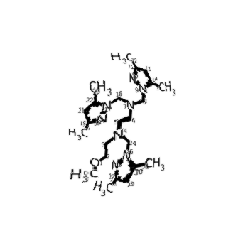 COCCN(/C=C/N(Cn1nc(C)cc1C)Cn1nc(C)cc1C)Cn1nc(C)cc1C